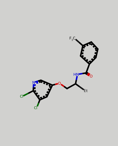 [CH2]CC(COc1cnc(Cl)c(Cl)c1)NC(=O)c1cccc(C(F)(F)F)c1